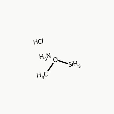 CO[SiH3].Cl.N